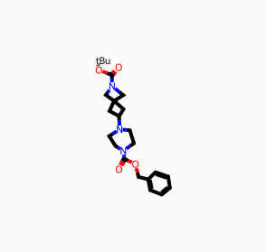 CC(C)(C)OC(=O)N1CC2(CC(N3CCN(C(=O)OCc4ccccc4)CC3)C2)C1